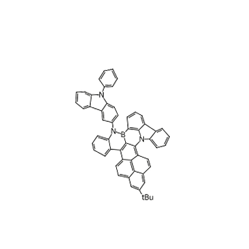 CC(C)(C)c1cc2ccc3c4c5c(c6ccc(c1)c2c36)-n1c2ccccc2c2cccc(c21)B5N(c1ccc2c(c1)c1ccccc1n2-c1ccccc1)c1ccccc1-4